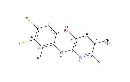 Cc1nc(Oc2ccc(F)c(F)c2C)c(Br)cc1C(F)(F)F